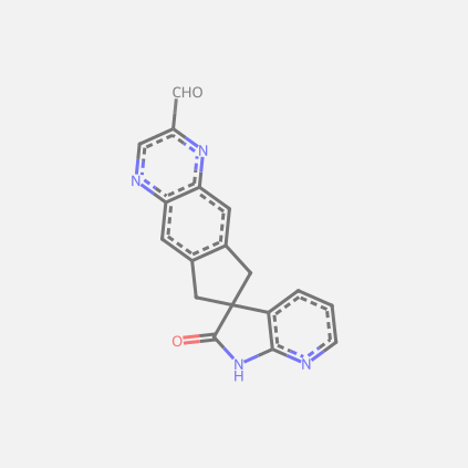 O=Cc1cnc2cc3c(cc2n1)CC1(C3)C(=O)Nc2ncccc21